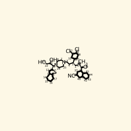 CN(C[C@@H](CCN1CCN([C@@H](c2cc3ccccc3s2)[C@H](O)CO)CC1)c1ccc(Cl)c(Cl)c1)C(=O)c1cc(C#N)cc2ccccc12